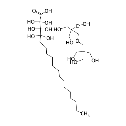 CCCCCCCCCCCCCCC(O)(O)C(O)(O)C(O)(O)C(=O)O.OCC(CO)(CO)COCC(CO)(CO)CO